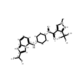 Cn1cc(C(=O)[N+](=S)[C@H]2CC[C@@H](Nc3cccc4nc(C(F)F)cn34)CC2)c(C(F)(F)F)n1